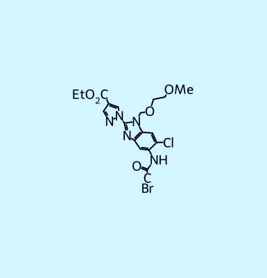 CCOC(=O)c1cnn(-c2nc3cc(NC(=O)CBr)c(Cl)cc3n2COCCOC)c1